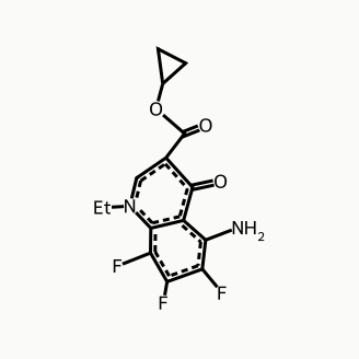 CCn1cc(C(=O)OC2CC2)c(=O)c2c(N)c(F)c(F)c(F)c21